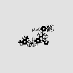 CCC(Oc1ccc(C(C)(C)CC)cc1C(C)(C)CC)C(=O)Nc1cc(C(=O)C(C(=O)Nc2cc(S(=O)(=O)N(CC)CC)ccc2OC)N2C(=O)C3CCCN3C2=O)ccc1OC